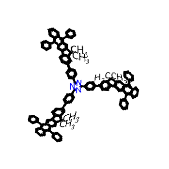 CC1(C)c2cc(-c3ccc(-c4nc(-c5ccc(-c6ccc7c(c6)C(C)(C)c6cc8c(-c9ccccc9)c9ccccc9c(-c9ccccc9)c8cc6-7)cc5)nc(-c5ccc(-c6ccc7c(c6)C(C)(C)c6cc8c(-c9ccccc9)c9ccccc9c(-c9ccccc9)c8cc6-7)cc5)n4)cc3)ccc2-c2cc3c(-c4ccccc4)c4ccccc4c(-c4ccccc4)c3cc21